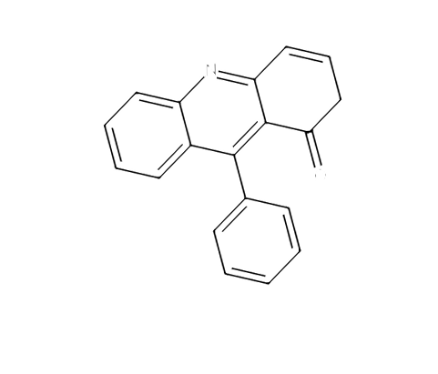 O=C1CC=Cc2nc3ccccc3c(-c3ccccc3)c21